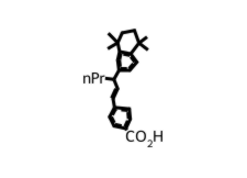 CCCC(C=Cc1ccc(C(=O)O)cc1)c1ccc2c(c1)C(C)(C)CCC2(C)C